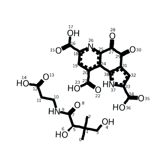 CC(C)(CO)[C@@H](O)C(=O)NCCC(=O)O.O=C(O)c1cc(C(=O)O)c2c(n1)C(=O)C(=O)c1cc(C(=O)O)[nH]c1-2